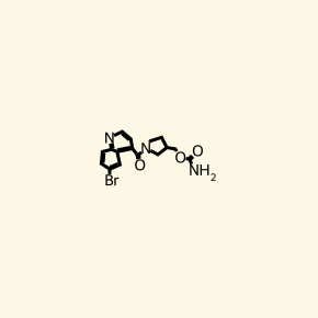 NC(=O)OCC1CCN(C(=O)c2ccnc3ccc(Br)cc23)C1